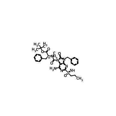 CCCS(=N)(=O)c1nc(N)c2c(n1)n(Cc1ccccc1)c(=O)n2C(=O)N(C)[C@@H](Cc1ccccc1)C(=O)OC(C)(C)C